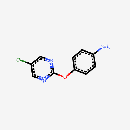 Nc1ccc(Oc2ncc(Cl)cn2)cc1